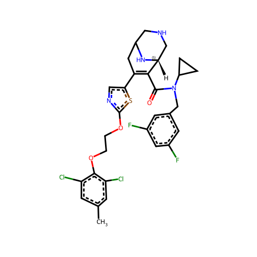 Cc1cc(Cl)c(OCCOc2ncc(C3=C(C(=O)N(Cc4cc(F)cc(F)c4)C4CC4)[C@H]4CNCC(C3)N4)s2)c(Cl)c1